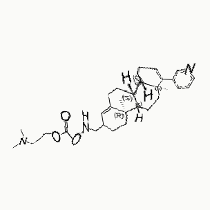 CN(C)CCOC(=O)ONCC1C=C2CC[C@H]3[C@H](CC[C@]4(C)C(c5cccnc5)=CC[C@@H]34)[C@@]2(C)CC1